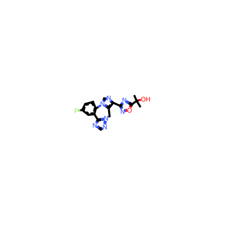 CC(C)(O)c1nc(-c2ncn3c2Cn2ncnc2-c2cc(F)ccc2-3)no1